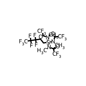 CN(C(=O)C(F)(F)F)[Si](CCC(F)(F)C(F)(F)C(F)(F)F)(N(C)C(=O)C(F)(F)F)N(C)C(=O)C(F)(F)F